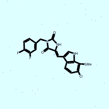 CSc1c(Cl)ccc2c(/C=C3\NC(=O)N(Cc4ccc(F)c(F)c4)C3=O)c[nH]c12